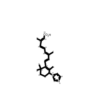 CC(C=CC1=C(C)C(n2ccnc2)CCC1(C)C)=CC=CC(C)=CC(=O)O